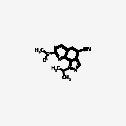 CC(C)n1ncc2c(C#N)cc3cnc([S+](C)[O-])nc3c21